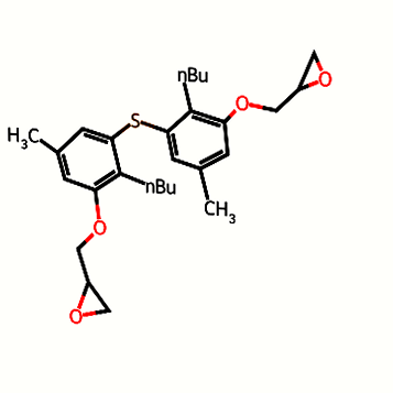 CCCCc1c(OCC2CO2)cc(C)cc1Sc1cc(C)cc(OCC2CO2)c1CCCC